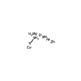 [Cr].[Cu].[Fe].[MgH2].[Mn].[SiH3][Ti].[Zn]